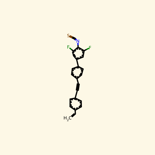 C=Cc1ccc(C#Cc2ccc(-c3cc(F)c(N=C=S)c(F)c3)cc2)cc1